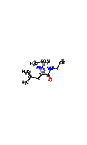 C=C(C)C[C@H](N)C(=O)NCC#N.CS(=O)(=O)O